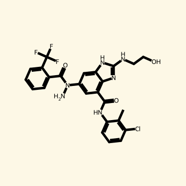 Cc1c(Cl)cccc1NC(=O)c1cc(N(N)C(=O)c2ccccc2C(F)(F)F)cc2[nH]c(NCCO)nc12